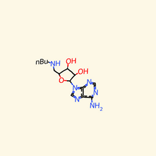 CCCCNCC1OC(n2cnc3c(N)ncnc32)[C@H](O)[C@@H]1O